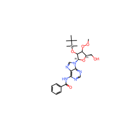 COOC1C(O[Si](C)(C)C(C)(C)C)[C@H](n2cnc3c(NC(=O)c4ccccc4)ncnc32)O[C@@H]1CO